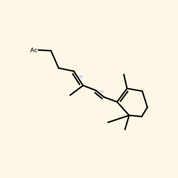 CC(=O)CC/C=C(C)/C=C/C1=C(C)CCCC1(C)C